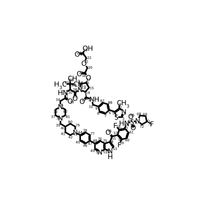 Cc1ncsc1-c1ccc(CNC(=O)[C@@H]2C[C@@H](OC(=O)COCC(=O)O)CN2C(=O)C(NC(=O)CN2CCN(CC3CCN(c4ccc(-c5cnc6[nH]cc(C(=O)c7c(F)ccc(NS(=O)(=O)N8CC[C@@H](F)C8)c7F)c6c5)cc4)CC3)CC2)C(C)(C)C)cc1